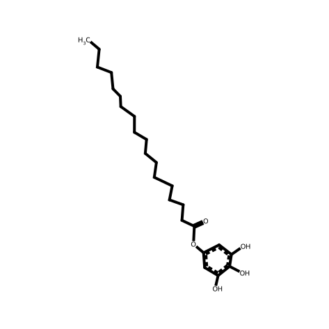 CCCCCCCCCCCCCCCCCC(=O)Oc1cc(O)c(O)c(O)c1